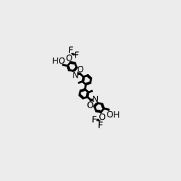 Cc1c(-c2nc3cc(CO)c(OC(F)F)cc3o2)cccc1-c1cccc(-c2nc3cc(CO)c(OC(F)F)cc3o2)c1C